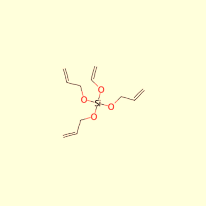 C=CCO[Si](OC=C)(OCC=C)OCC=C